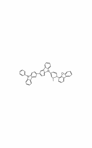 CC1C=C(n2c3ccccc3c3cc(-c4ccc5c(c4)c4ccccc4n5-c4ccccc4)ccc32)C=CC1c1cccc2c1oc1ccccc12